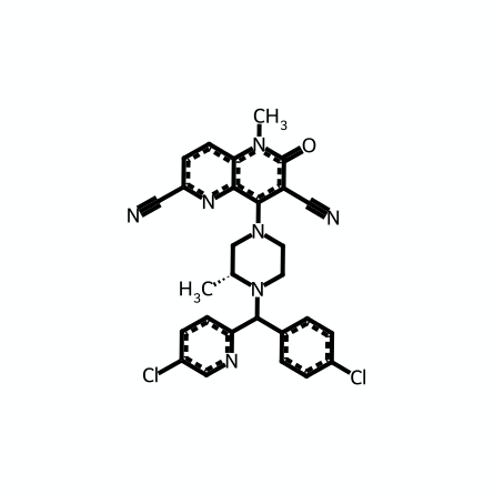 C[C@@H]1CN(c2c(C#N)c(=O)n(C)c3ccc(C#N)nc23)CCN1C(c1ccc(Cl)cc1)c1ccc(Cl)cn1